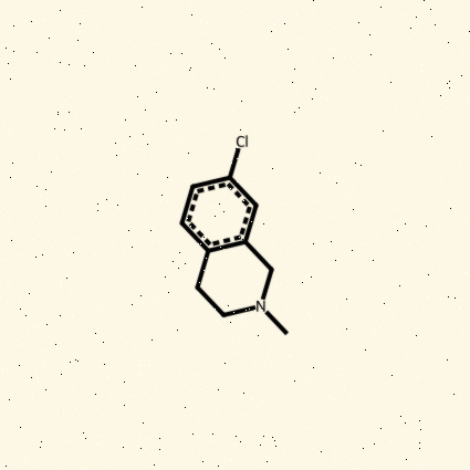 CN1CCc2ccc(Cl)cc2C1